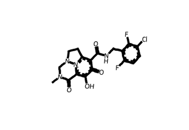 CN1CN2CCc3c(C(=O)NCc4c(F)ccc(Cl)c4F)c(=O)c(O)c(n32)C1=O